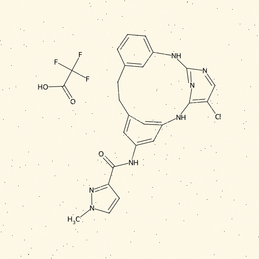 Cn1ccc(C(=O)Nc2cc3cc(c2)Nc2nc(ncc2Cl)Nc2cccc(c2)CC3)n1.O=C(O)C(F)(F)F